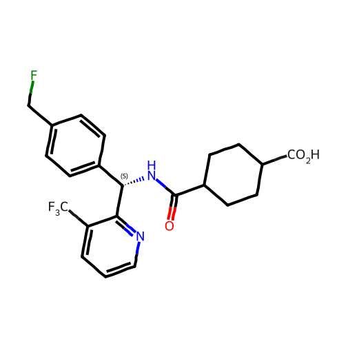 O=C(O)C1CCC(C(=O)N[C@@H](c2ccc(CF)cc2)c2ncccc2C(F)(F)F)CC1